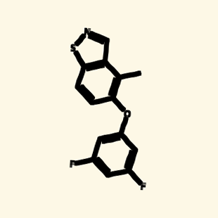 Cc1c(Oc2cc(F)cc(F)c2)ccc2sncc12